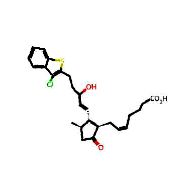 C[C@@H]1CC(=O)[C@H](C/C=C\CCCC(=O)O)[C@H]1/C=C/C(O)CCc1sc2ccccc2c1Cl